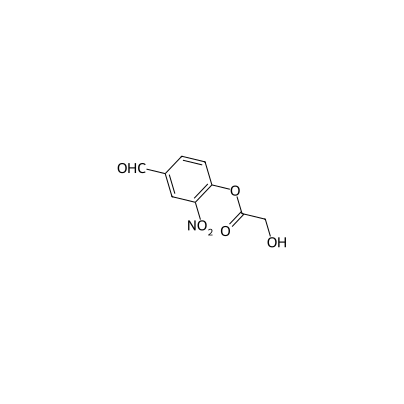 O=Cc1ccc(OC(=O)CO)c([N+](=O)[O-])c1